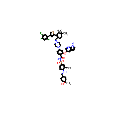 CC1(C)CCC(CN2CCN(c3ccc(C(=O)NS(=O)(=O)c4ccc(NCC5CCC(C)(O)CC5)c([N+](=O)[O-])c4)c(Oc4cnc5[nH]ccc5c4)c3)CC2)=C(c2cc(-c3cc(F)c(F)cc3F)cs2)C1